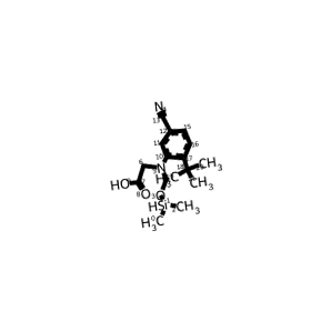 C[SiH](C)OCN(CC(=O)O)c1cc(C#N)ccc1C(C)(C)C